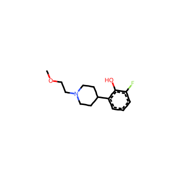 COCCN1CCC(c2cccc(F)c2O)CC1